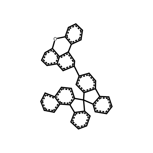 c1ccc2c(c1)Oc1cccc3cc(-c4ccc5c(c4)C4(c6ccccc6-5)c5ccccc5-c5c4ccc4ccccc54)cc-2c13